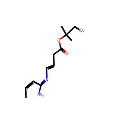 C\C=C/C(N)=N\C=C\CC(=O)OC(C)(C)CC(C)(C)C